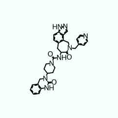 O=C(NC1Cc2ccc3[nH]ncc3c2CN(Cc2ccncc2)C1=O)N1CCC(N2Cc3ccccc3NC2=O)CC1